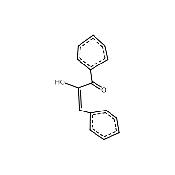 O=C(/C(O)=C\c1ccccc1)c1ccccc1